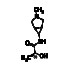 C[C@H](O)C(=O)NC1C2CN(C)CC21